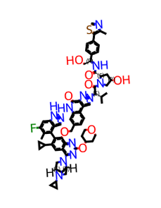 Cc1ncsc1-c1ccc([C@H](CO)NC(=O)[C@@H]2C[C@@H](O)CN2C(=O)[C@H](C(C)C)n2cc3c(n2)c(=O)[nH]c2cc(COc4c(-c5c(C)c(F)cc6[nH]ncc56)c(C5CC5)cc5c(N6C[C@@H]7C[C@H]6CN7C6CC6)nc(OC6CCOCC6)nc45)ccc23)cc1